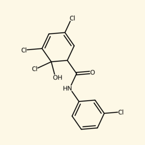 O=C(Nc1cccc(Cl)c1)C1C=C(Cl)C=C(Cl)C1(O)Cl